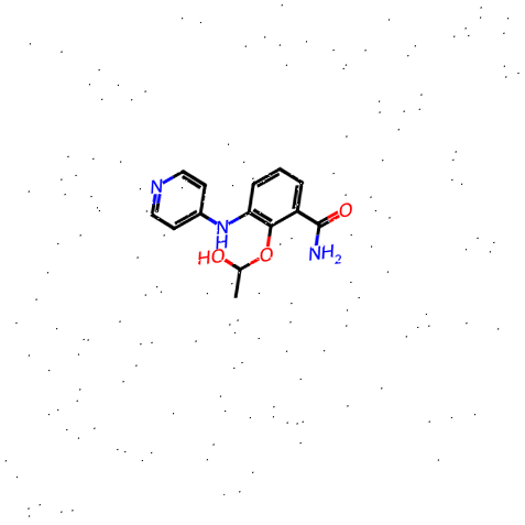 CC(O)Oc1c(Nc2ccncc2)cccc1C(N)=O